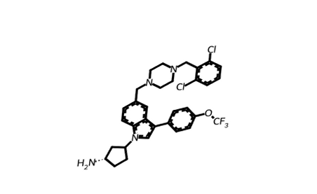 N[C@H]1CCC(n2cc(-c3ccc(OC(F)(F)F)cc3)c3cc(CN4CCN(Cc5c(Cl)cccc5Cl)CC4)ccc32)C1